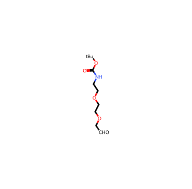 CC(C)(C)OC(=O)NCCOCCOCC=O